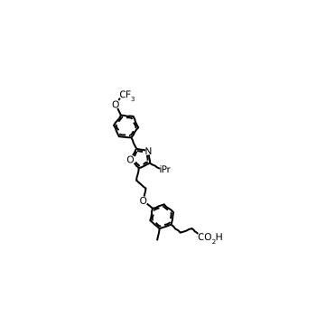 Cc1cc(OCCc2oc(-c3ccc(OC(F)(F)F)cc3)nc2C(C)C)ccc1CCC(=O)O